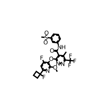 COc1nc(C2(F)CCC2)cc(F)c1Oc1nnc(C(F)(F)F)c(C)c1C(=O)Nc1cccc(S(C)(=O)=O)c1